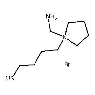 NC[N+]1(CCCCS)CCCC1.[Br-]